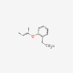 C/C=C(\C)Oc1ccccc1CC(=O)O